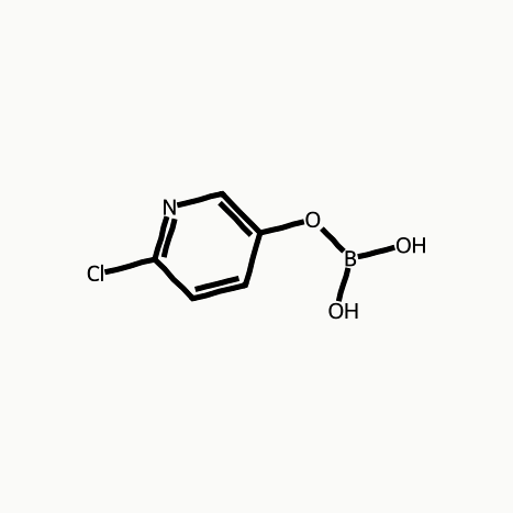 OB(O)Oc1ccc(Cl)nc1